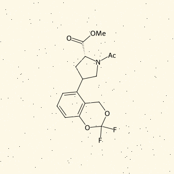 COC(=O)[C@H]1CC(c2cccc3c2COC(F)(F)O3)CN1C(C)=O